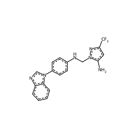 Nc1cc(C(F)(F)F)nn1CNc1ccc(-n2cnc3ccccc32)cc1